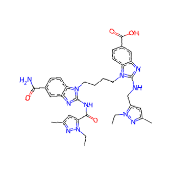 CCn1nc(C)cc1CNc1nc2cc(C(=O)O)ccc2n1CCCCn1c(NC(=O)c2cc(C)nn2CC)nc2cc(C(N)=O)ccc21